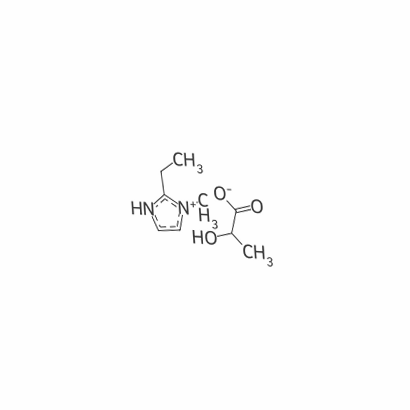 CC(O)C(=O)[O-].CCc1[nH]cc[n+]1C